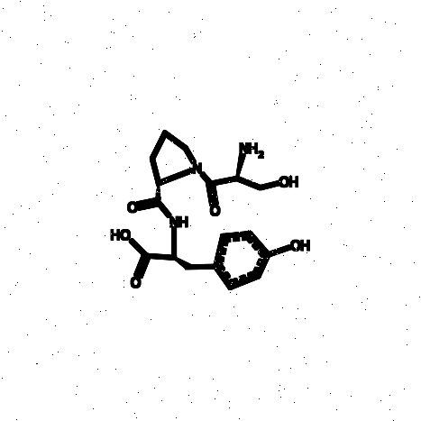 N[C@@H](CO)C(=O)N1CCC[C@H]1C(=O)N[C@@H](Cc1ccc(O)cc1)C(=O)O